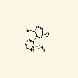 Cc1ncccc1-c1cc(Cl)ccc1Br